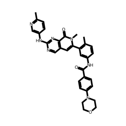 Cc1ccc(Nc2ncc3cc(-c4cc(NC(=O)c5ccc(N6CCOCC6)cc5)ccc4C)n(C)c(=O)c3n2)cn1